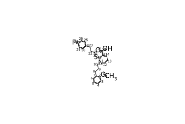 COc1ccccc1CCCN1C=CC=C(C(=O)O)C1SCCCc1ccc(F)cc1